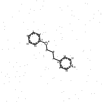 [c]1ccc(OCCCc2ccncc2)cc1